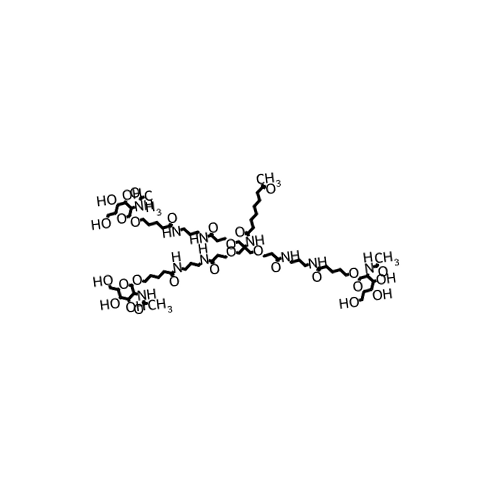 CC(=O)CCCCCCC(=O)NC(COCCC(=O)NCCCNC(=O)CCCCOC1OC(CO)C(O)C(O)C1NC(C)=O)(COCCC(=O)NCCCNC(=O)CCCCOC1OC(CO)C(O)C(O)C1NC(C)=O)COCCC(=O)NCCCNC(=O)CCCCOC1OC(CO)C(O)C(O)C1NC(C)=O